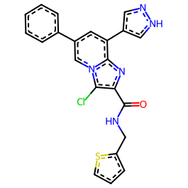 O=C(NCc1cccs1)c1nc2c(-c3cn[nH]c3)cc(-c3ccccc3)cn2c1Cl